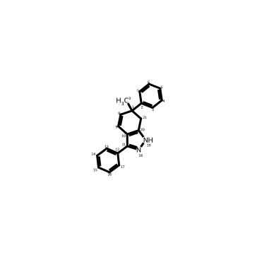 CC1(c2ccccc2)C=Cc2c(-c3ccccc3)n[nH]c2C1